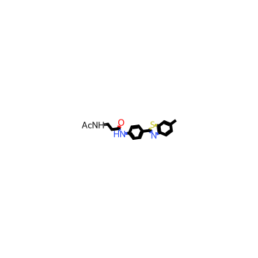 CC(=O)NCCC(=O)Nc1ccc(-c2nc3ccc(C)cc3s2)cc1